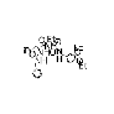 CCOc1ccc(CNC(=O)C(=O)C(CC)NC(=O)C(CC(C)C)NC(=O)NCc2ccccc2)cc1OCC